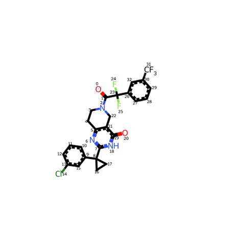 O=C(N1CCc2nc(C3(c4cccc(Cl)c4)CC3)[nH]c(=O)c2C1)C(F)(F)c1cccc(C(F)(F)F)c1